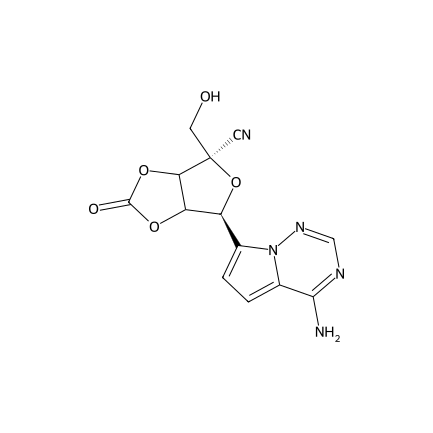 N#C[C@]1(CO)O[C@@H](c2ccc3c(N)ncnn23)C2OC(=O)OC21